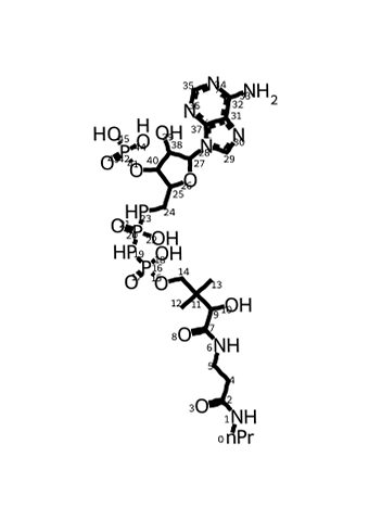 CCCNC(=O)CCNC(=O)C(O)C(C)(C)COP(=O)(O)PP(=O)(O)PCC1OC(n2cnc3c(N)ncnc32)C(O)C1OP(=O)(O)O